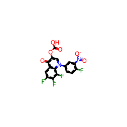 O=C(O)Oc1cn(-c2ccc(F)c([N+](=O)[O-])c2)c2c(F)c(F)c(F)cc2c1=O